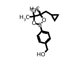 CC1(C)OB(c2ccc(CO)cc2)OC1(C)CC1CC1